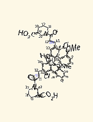 COc1ccccc1-c1c(Cl)c(/C=C/C(=O)N2CCCC(C(=O)O)C2)cc(O)c1Sc1c(O)cc(/C=C/C(=O)N2CCCC(C(=O)O)C2)c(Cl)c1-c1ccccc1OC